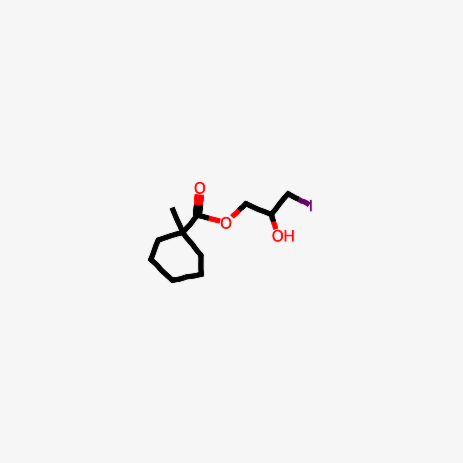 CC1(C(=O)OCC(O)CI)CCCCC1